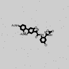 CC(=O)Nc1ccc(-c2cc3onc(C(=O)Nc4ccc(Cl)cc4-c4noc(=O)[nH]4)c3cc2NC(C)=O)c(C(F)(F)F)c1